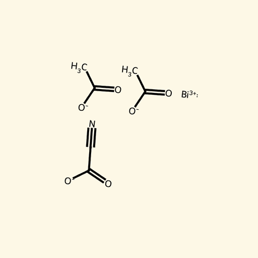 CC(=O)[O-].CC(=O)[O-].N#CC(=O)[O-].[Bi+3]